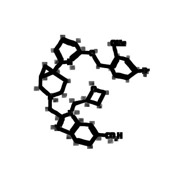 COc1cc(Br)ccc1COc1cccc(C23CCN(Cc4nc5ccc(C(=O)O)cc5n4C[C@@H]4CCO4)CC2C3)n1